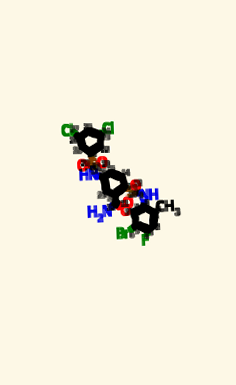 Cc1cc(F)c(Br)cc1NS(=O)(=O)c1ccc(NS(=O)(=O)c2cc(Cl)cc(Cl)c2)cc1C(N)=O